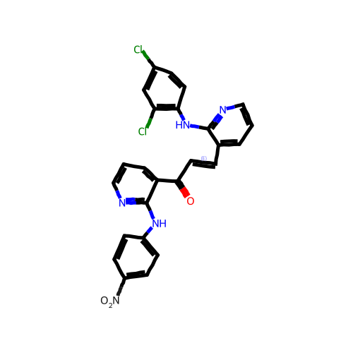 O=C(/C=C/c1cccnc1Nc1ccc(Cl)cc1Cl)c1cccnc1Nc1ccc([N+](=O)[O-])cc1